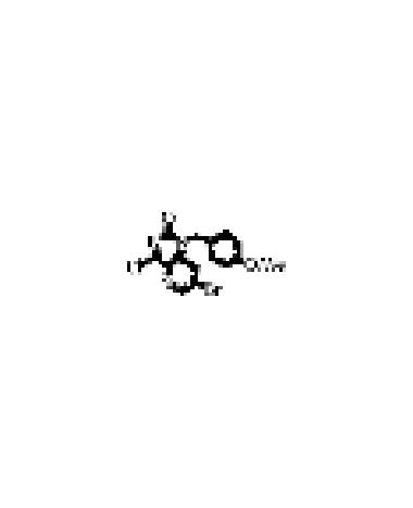 COc1ccc(Cn2c(=O)nc(Cl)c3ncc(Br)cc32)cc1